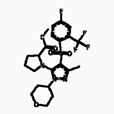 COC(=O)C1CCCN1c1c(S(=O)(=O)c2ccc(F)cc2C(F)(F)F)c(C)nn1C1CCOCC1